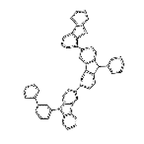 c1ccc(-c2cccc(-n3c4ccccc4c4cc(-c5ccc6c(c5)-c5cc(-c7cccc8c7sc7ccccc78)ccc5C6c5ccccc5)ccc43)c2)cc1